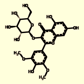 COc1cc(-c2oc3cc(O)cc(O)c3c(=O)c2O[C@@H]2O[C@H](CO)[C@@H](O)[C@H](O)[C@H]2O)cc(OC)c1O